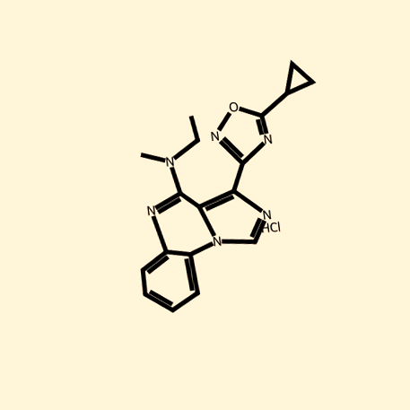 CCN(C)c1nc2ccccc2n2cnc(-c3noc(C4CC4)n3)c12.Cl